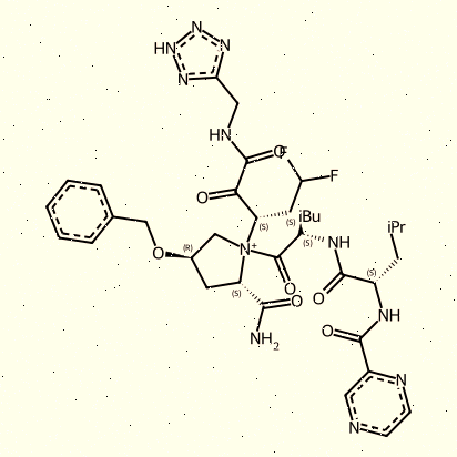 CC[C@H](C)[C@H](NC(=O)[C@H](CC(C)C)NC(=O)c1cnccn1)C(=O)[N+]1([C@@H](CC(F)F)C(=O)C(=O)NCc2nn[nH]n2)C[C@H](OCc2ccccc2)C[C@H]1C(N)=O